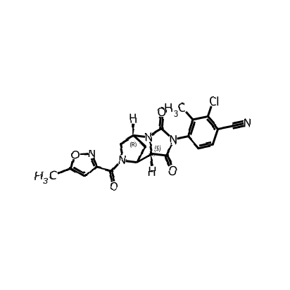 Cc1cc(C(=O)N2C[C@H]3CC2[C@H]2C(=O)N(c4ccc(C#N)c(Cl)c4C)C(=O)N32)no1